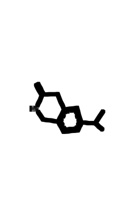 C=C1Cc2cc(C(C)C)ccc2CN1